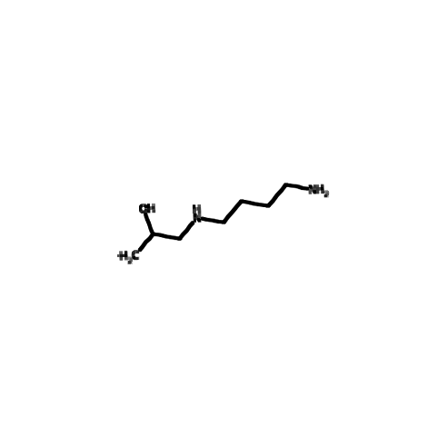 [CH2]C(O)CNCCCCN